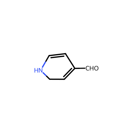 O=CC1=CCNC=C1